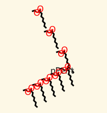 CCCCCC.CCCCCCCC(=O)OCC.CCCCCCCC(=O)OCC.CCCCCCCC(=O)OCC.CCCCCCCC(=O)OCC.CCCCCCCC(=O)OCC.CCCCCCCC(=O)OCC.CCCCCCCC(=O)OCC.CCCCCCCC(=O)OCC